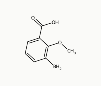 Bc1cccc(C(=O)O)c1OC